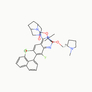 CN1CCC[C@H]1COc1nc(N2CC3CCC(C2)N3C(=O)OC(C)(C)C)c2cc(Cl)c(-c3cccc4cccc(F)c34)c(F)c2n1